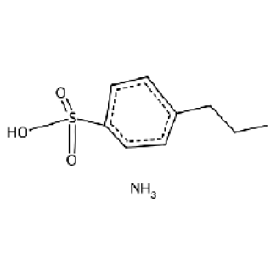 CCCc1ccc(S(=O)(=O)O)cc1.N